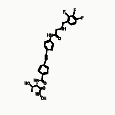 C[C@@H](O)[C@H](NC(=O)c1ccc(C#Cc2ccc(NC(=O)CNCc3ccc(F)c(F)c3F)cc2)cc1)C(=O)NO